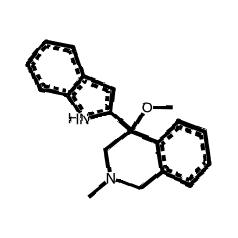 COC1(c2cc3ccccc3[nH]2)CN(C)Cc2ccccc21